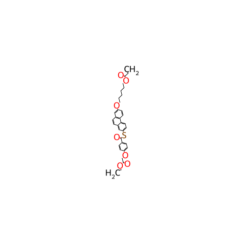 C=COC(=O)COc1ccc(C(=O)Sc2ccc3c(ccc4cc(OCCCCCCOC(=O)C=C)ccc43)c2)cc1